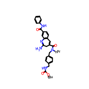 CCCN(Cc1ccc(CNC(=O)OC(C)(C)C)cc1)C(=O)C1=Cc2ccc(C(=O)Nc3ccccc3)cc2N=C(N)C1